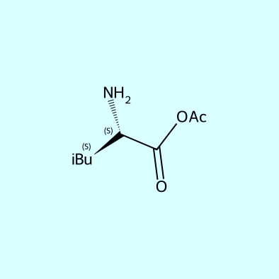 CC[C@H](C)[C@H](N)C(=O)OC(C)=O